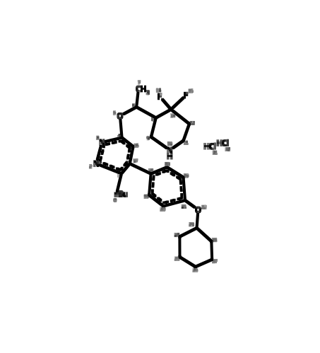 CCCCc1nnc(OC(C)C2CNCCC2(F)F)cc1-c1ccc(OC2CCCCC2)cc1.Cl.Cl